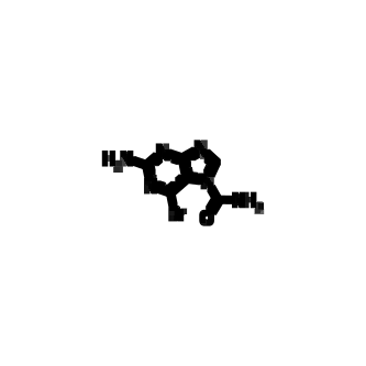 NC(=O)n1cnc2nc(N)nc(Br)c21